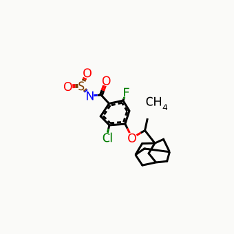 C.CC(Oc1cc(F)c(C(=O)N=S(=O)=O)cc1Cl)C12CC3CC(CC(C3)C1)C2